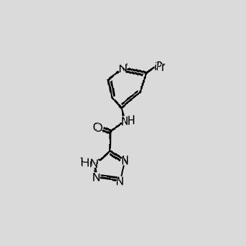 CC(C)c1cc(NC(=O)c2nnn[nH]2)ccn1